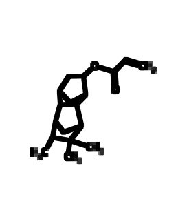 C=CC(=O)OC1CC2CC1C1C2C2CC1C(C)(C)C2C